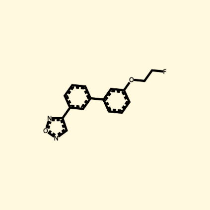 FCCOc1cccc(-c2cccc(-c3cnon3)c2)c1